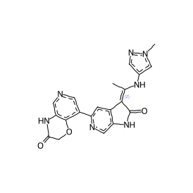 C/C(Nc1cnn(C)c1)=C1/C(=O)Nc2cnc(-c3cncc4c3OCC(=O)N4)cc21